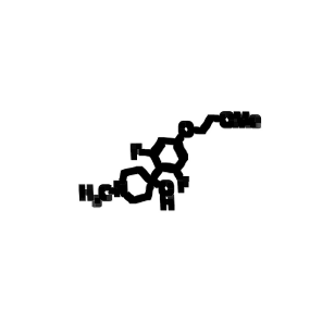 COCCOc1cc(F)c(C2(O)CCN(C)CC2)c(F)c1